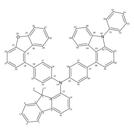 CC1(C)c2ccccc2-c2cccc(N(c3ccc(-c4cccc5oc6ccccc6c45)cc3)c3ccc(-c4cccc5c4c4ccccc4n5-c4ccccc4)cc3)c21